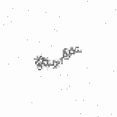 COc1ccc(S(=O)(=O)CCCOc2ccc(Cc3ccc(O)c(C(=O)O)c3)cc2)cc1